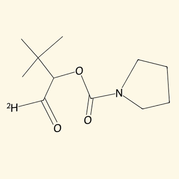 [2H]C(=O)C(OC(=O)N1CCCC1)C(C)(C)C